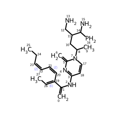 C=C(NC1=NC(=C)N(C(C)CC(CN)C(N)P)C=C1)C(/C=C\C=C/CC)=C/C